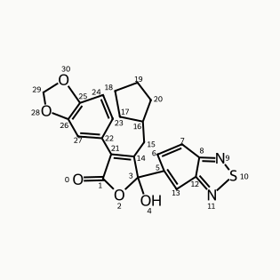 O=C1OC(O)(c2ccc3nsnc3c2)C(CC2CCCC2)=C1c1ccc2c(c1)OCO2